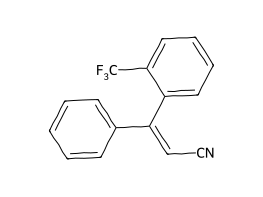 N#CC=C(c1ccccc1)c1ccccc1C(F)(F)F